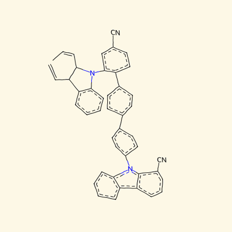 C=CC1c2ccccc2N(c2cc(C#N)ccc2-c2ccc(-c3ccc(-n4c5ccccc5c5cccc(C#N)c54)cc3)cc2)C1/C=C\C